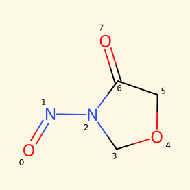 O=NN1COCC1=O